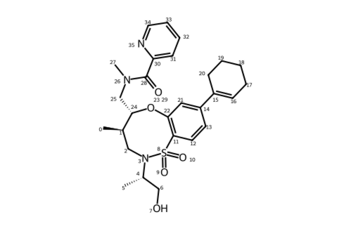 C[C@@H]1CN([C@@H](C)CO)S(=O)(=O)c2ccc(C3=CCCCC3)cc2O[C@H]1CN(C)C(=O)c1ccccn1